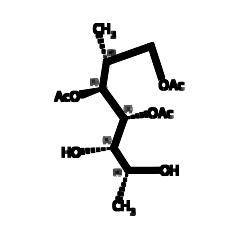 CC(=O)OC[C@@H](C)[C@H](OC(C)=O)[C@H](OC(C)=O)[C@@H](O)[C@@H](C)O